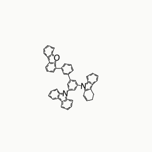 C1=Cc2c(c3ccccc3n2-c2cc(-c3cccc(-c4cccc5c4oc4ccccc45)c3)cc(-n3c4ccccc4c4ccccc43)c2)CC1